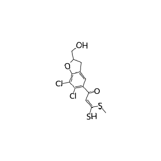 CSC(S)=CC(=O)c1cc2c(c(Cl)c1Cl)OC(CO)C2